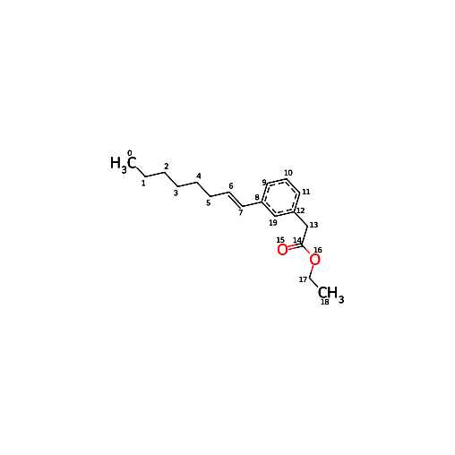 CCCCCC/C=C/c1cccc(CC(=O)OCC)c1